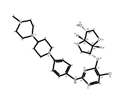 CN1CCN(C2CCN(c3ccc(Nc4ncc(Cl)c(O[C@@H]5CO[C@H]6[C@@H]5OC[C@H]6O)n4)cc3)CC2)CC1